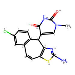 Cn1cc(C2c3ccc(Cl)cc3C=Cc3sc(N)nc32)c(=O)[nH]c1=O